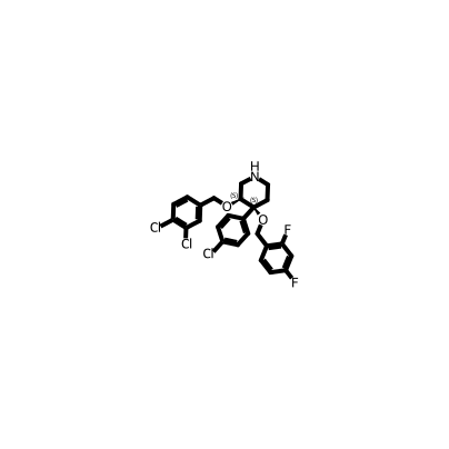 Fc1ccc(CO[C@]2(c3ccc(Cl)cc3)CCNC[C@@H]2OCc2ccc(Cl)c(Cl)c2)c(F)c1